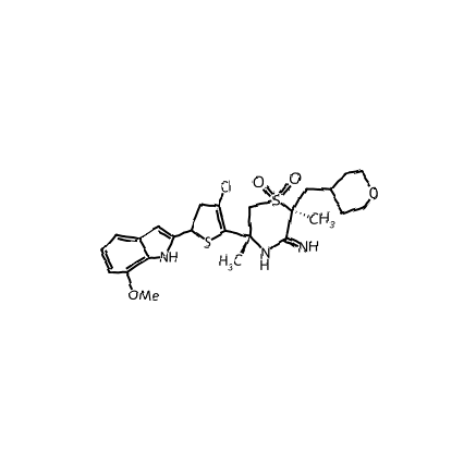 COc1cccc2cc(C3CC(Cl)=C([C@]4(C)CS(=O)(=O)[C@@](C)(CC5CCOCC5)C(=N)N4)S3)[nH]c12